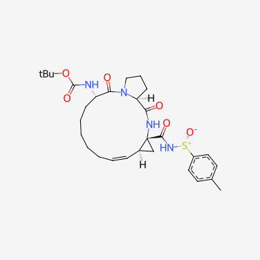 Cc1ccc([S@@+]([O-])NC(=O)[C@@]23C[C@H]2/C=C\CCCCC[C@H](NC(=O)OC(C)(C)C)C(=O)N2CCC[C@H]2C(=O)N3)cc1